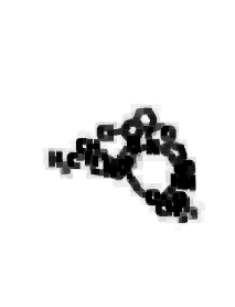 CC(C)N1CCN(CC2(O)C=CCOC(C)(C)C(=O)NS(=O)(=O)c3ccc4c(c3)N(C[C@@H]3CC[C@H]32)C[C@@]2(CCCc3cc(Cl)ccc32)CO4)CC1